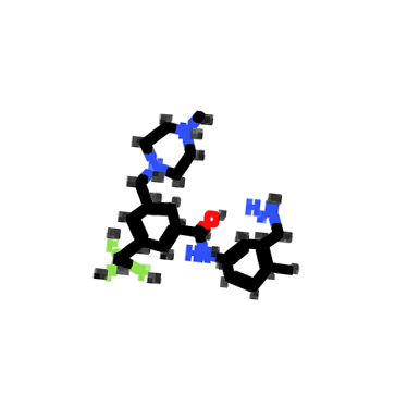 Cc1ccc(NC(=O)c2cc(CN3CCN(C)CC3)cc(C(F)(F)F)c2)cc1CN